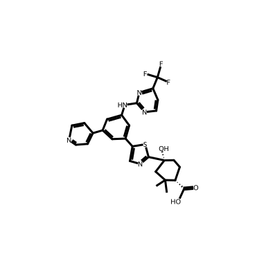 CC1(C)C[C@@](O)(c2ncc(-c3cc(Nc4nccc(C(F)(F)F)n4)cc(-c4ccncc4)c3)s2)CC[C@@H]1C(=O)O